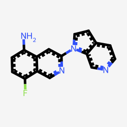 Nc1ccc(F)c2cnc(-n3ccc4ccncc43)cc12